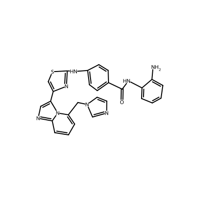 Nc1ccccc1NC(=O)c1ccc(Nc2nc(-c3cnc4cccc(Cn5ccnc5)n34)cs2)cc1